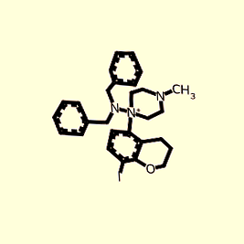 CN1CC[N+](c2ccc(I)c3c2CCCO3)(N(Cc2ccccc2)Cc2ccccc2)CC1